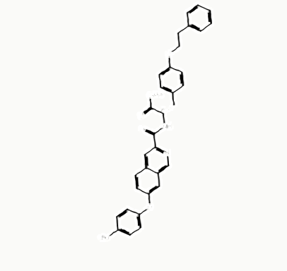 COC(=O)[C@H](Cc1ccc(OCCc2ccccc2)cc1)NC(=O)c1cc2ccc(Oc3ccc(C(C)(C)C)cc3)cc2cn1